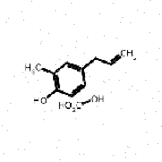 C=CCc1ccc(O)c(C)c1.O=C(O)O